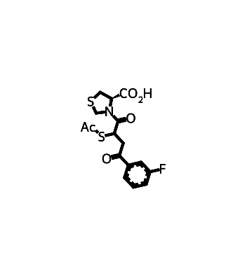 CC(=O)SC(CC(=O)c1cccc(F)c1)C(=O)N1CSC[C@H]1C(=O)O